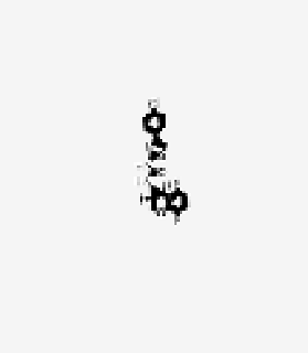 O=C(Nc1nc(-c2ccc(Cl)cc2)cs1)N[C@@H]1[C@H]2COc3c(F)ccc(F)c3[C@@H]21